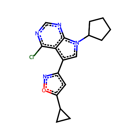 Clc1ncnc2c1c(-c1cc(C3CC3)on1)cn2C1CCCC1